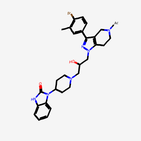 CC(=O)N1CCc2c(c(-c3ccc(Br)c(C)c3)nn2CC(O)CN2CCC(n3c(=O)[nH]c4ccccc43)CC2)C1